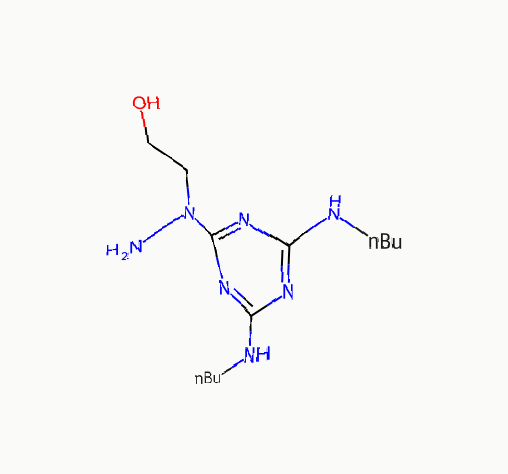 CCCCNc1nc(NCCCC)nc(N(N)CCO)n1